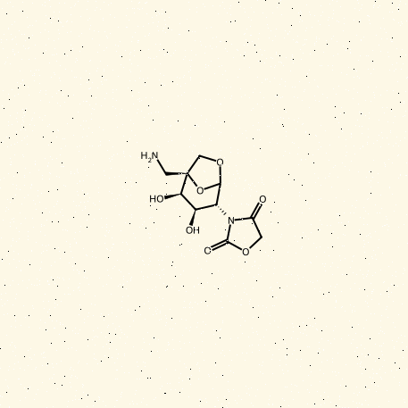 NC[C@@]12COC(O1)[C@H](N1C(=O)COC1=O)[C@@H](O)[C@H]2O